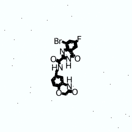 O=C1COc2ccc(CNC(=O)c3nc4c(Br)cc(F)cc4c(=O)[nH]3)cc2N1